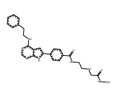 O=C(CNCCNC(=O)c1ccc(-c2cc3c(NCCc4ccccc4)ncnc3[nH]2)cc1)NO